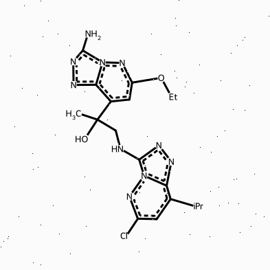 CCOc1cc(C(C)(O)CNc2nnc3c(C(C)C)cc(Cl)nn23)c2nnc(N)n2n1